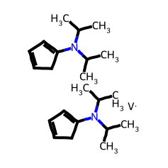 CC(C)N(C1=CC=CC1)C(C)C.CC(C)N(C1=CC=CC1)C(C)C.[V]